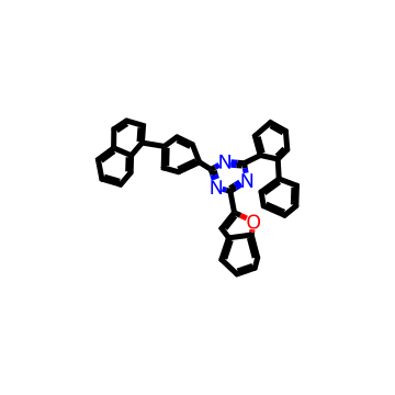 c1ccc(-c2ccccc2-c2nc(-c3ccc(-c4cccc5ccccc45)cc3)nc(-c3cc4ccccc4o3)n2)cc1